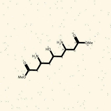 COC(=O)CC(N)CC(O)CC(N)CC(=O)OC